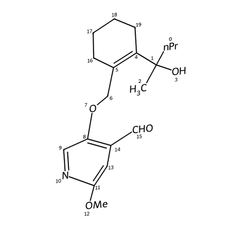 CCCC(C)(O)C1=C(COc2cnc(OC)cc2C=O)CCCC1